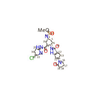 CO[SH](=O)=Nc1ccc(NC(=O)c2ccc(-n3ccccc3=O)cc2)c(C(=O)Nc2ccc(Cl)cn2)c1